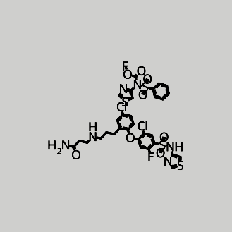 NC(=O)CCNCCCc1cc(Cl)ccc1Oc1cc(F)c(S(=O)(=O)Nc2cscn2)cc1Cl.O=C(OF)N(c1cscn1)S(=O)(=O)c1ccccc1